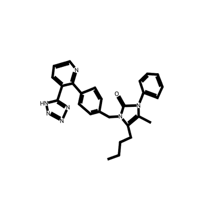 CCCCc1c(C)n(-c2ccccc2)c(=O)n1Cc1ccc(-c2ncccc2-c2nnn[nH]2)cc1